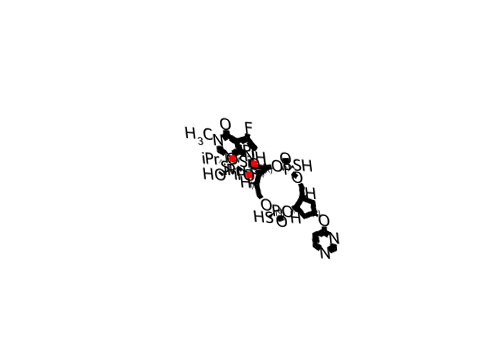 CC(C)[Si](O)(O[Si](O[C@H]1[C@H]2O[P@@](=O)(S)OC[C@H]3C[C@@H](Oc4ccncn4)C[C@@H]3O[P@@](=O)(S)OC[C@H]1O[C@H]2n1cc(F)c2c(=O)n(C)cnc21)(C(C)C)C(C)C)C(C)C